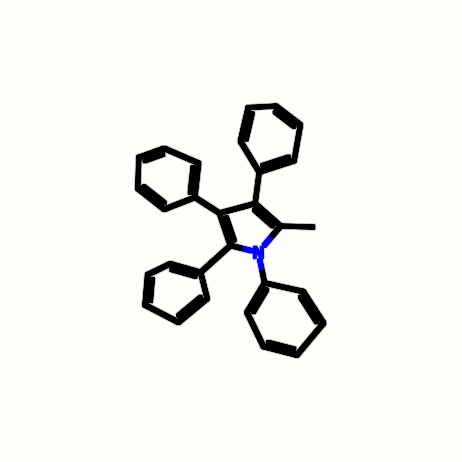 Cc1c(-c2ccccc2)c(-c2ccccc2)c(-c2ccccc2)n1-c1ccccc1